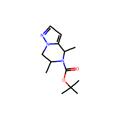 CC1Cn2nccc2C(C)N1C(=O)OC(C)(C)C